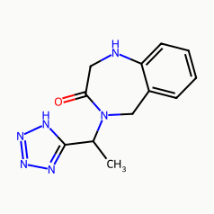 CC(c1nnn[nH]1)N1Cc2ccccc2NCC1=O